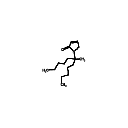 CCCCCC(C)(CCCCC)N1CC=CC1=O